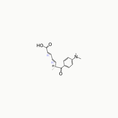 C[C@H](/C=C/C=C/C(=O)O)C(=O)c1ccc(N(C)C)cc1